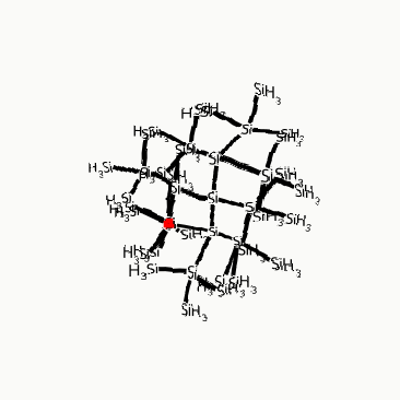 [SiH3][Si]([SiH3])([SiH3])[Si]([SiH3])([Si]([SiH3])([SiH3])[SiH3])[Si]([Si]([SiH3])([SiH3])[SiH3])([Si]([Si]([SiH3])([SiH3])[SiH3])([Si]([SiH3])([SiH3])[SiH3])[Si]([SiH3])([SiH3])[SiH3])[Si]([Si]([SiH3])([SiH3])[SiH3])([Si]([SiH3])([SiH3])[SiH3])[Si]([SiH3])([SiH3])[SiH3]